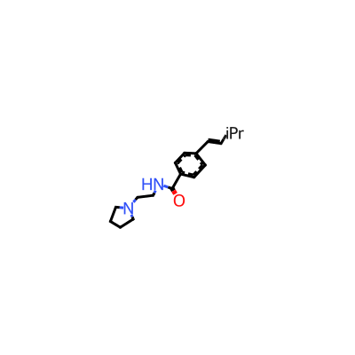 CC(C)/C=C/c1ccc(C(=O)NCCN2CCCC2)cc1